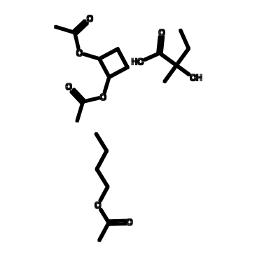 CC(=O)OC1CCC1OC(C)=O.CCC(C)(O)C(=O)O.CCCCOC(C)=O